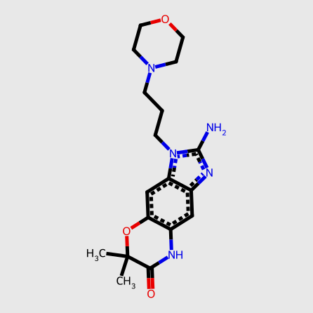 CC1(C)Oc2cc3c(cc2NC1=O)nc(N)n3CCCN1CCOCC1